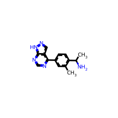 Cc1cc(-c2ncnc3[nH]ncc23)ccc1C(C)N